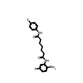 Nc1ccc(F)cc1NC(=O)CCCCCC(=O)Nc1ccc(F)cc1